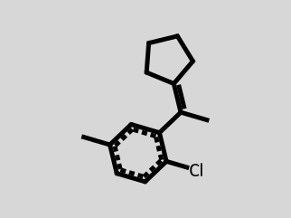 CC(=C1CCCC1)c1cc(C)ccc1Cl